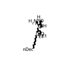 CCCCCCCCCCCCCCCCCCOCC(CC(OCC)OCC)CN1CNc2c1nc(N)[nH]c2=O